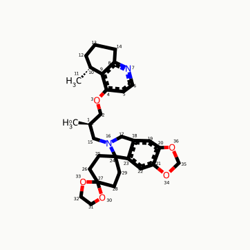 C[C@@H](COc1ccnc2c1[C@H](C)CCC2)CN1Cc2cc3c(cc2C12CCC1(CC2)OCCO1)OCO3